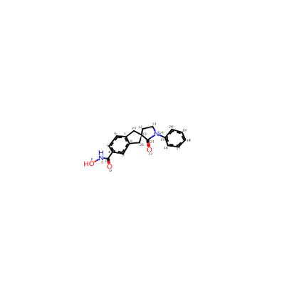 O=C(NO)c1ccc2c(c1)C[C@]1(CCN(c3ccccc3)C1=O)C2